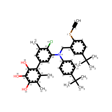 C#CSc1ccc(C(C)(C)C)cc1CN(c1ccc(C(C)(C)C)cc1)c1cc(-c2c(C)c(C)c(O)c(O)c2O)cc(C)c1Cl